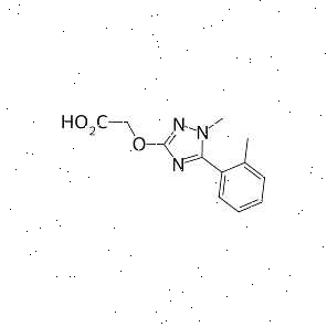 Cc1ccccc1-c1nc(OCC(=O)O)nn1C